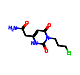 NC(=O)Cc1cc(=O)n(CCCCl)c(=O)[nH]1